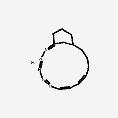 C1=CCCCC2CCCC(=NN=NN=NC=C1)C2.[Fe]